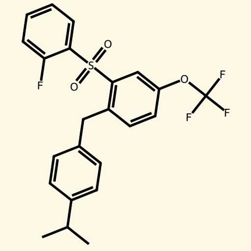 CC(C)c1ccc(Cc2ccc(OC(F)(F)F)cc2S(=O)(=O)c2ccccc2F)cc1